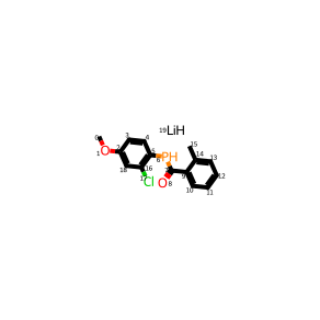 COc1ccc(PC(=O)c2ccccc2C)c(Cl)c1.[LiH]